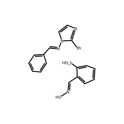 CC(C)c1nccn1N=Cc1ccccc1.O=S(=O)(O)c1ccccc1C=NO